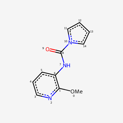 COc1ncccc1NC(=O)n1cccc1